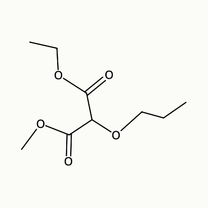 CCCOC(C(=O)OC)C(=O)OCC